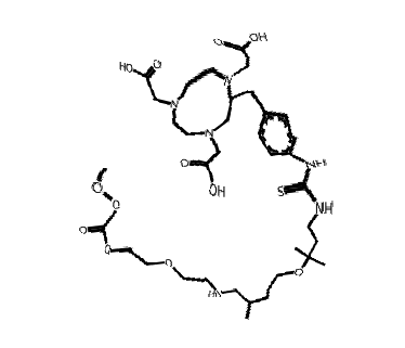 COOC(=O)OCCOCCNCC(C)CCOC(C)(C)CCNC(=S)Nc1ccc(CC2CN(CC(=O)O)CCN(CC(=O)O)CCN2CC(=O)O)cc1